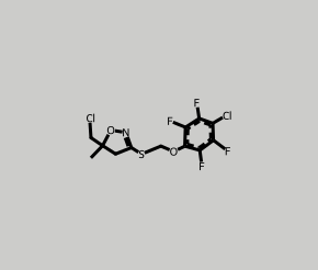 CC1(CCl)CC(SCOc2c(F)c(F)c(Cl)c(F)c2F)=NO1